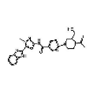 CC(=O)N1CCN(c2ccc(C(=O)Nc3cc(-c4nc5ccccc5[nH]4)n(C)n3)cn2)CC1CO